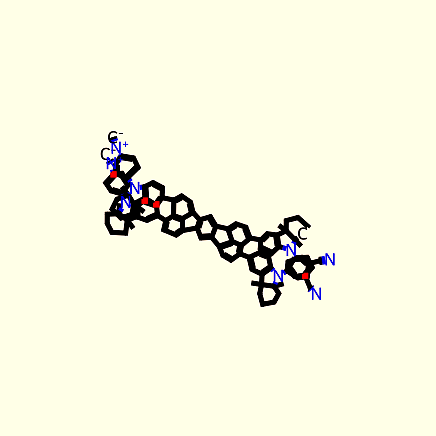 [C-]#[N+]c1ccc(N2c3ccc(-c4ccc5c6cc7c(cc6c6ccc(-c8ccc9c(c8)C8(C)CCCCC8(C)N9c8ccc([N+]#[C-])cc8)c4c56)c4ccc(-c5ccc6c(c5)C5(C)CCCCC5(C)N6c5ccc(C#N)cc5)c5c(-c6ccc8c(c6)C6(C)CCCCC6(C)N8c6ccc(C#N)cc6)ccc7c54)cc3C3(C)CCCCC23C)cc1